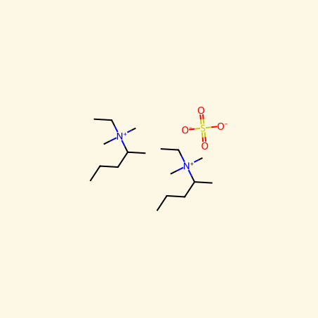 CCCC(C)[N+](C)(C)CC.CCCC(C)[N+](C)(C)CC.O=S(=O)([O-])[O-]